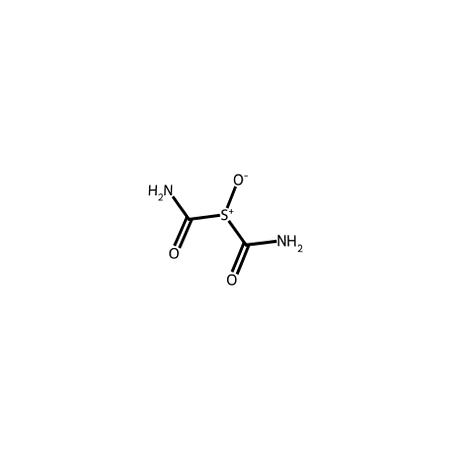 NC(=O)[S+]([O-])C(N)=O